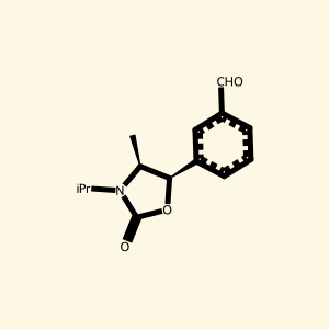 CC(C)N1C(=O)O[C@H](c2cccc(C=O)c2)[C@@H]1C